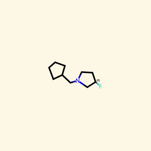 F[C@@H]1CCN(CC2CCCC2)C1